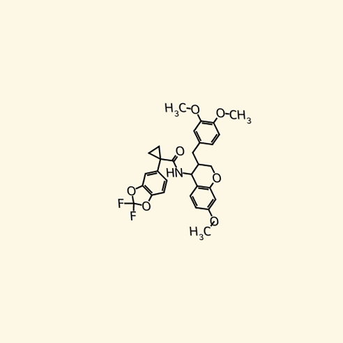 COc1ccc2c(c1)OCC(Cc1ccc(OC)c(OC)c1)C2NC(=O)C1(c2ccc3c(c2)OC(F)(F)O3)CC1